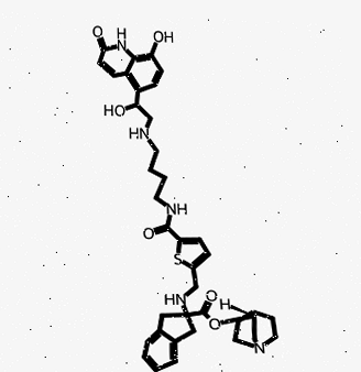 O=C(NCCCCNCC(O)c1ccc(O)c2[nH]c(=O)ccc12)c1ccc(CNC2(C(=O)O[C@H]3CN4CCC3CC4)Cc3ccccc3C2)s1